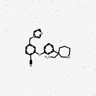 CCC1(c2cccc(Oc3cc(Cn4ccnc4)ccc3C#N)c2)CCCCNC1